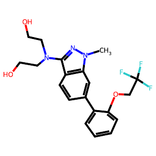 Cn1nc(N(CCO)CCO)c2ccc(-c3ccccc3OCC(F)(F)F)cc21